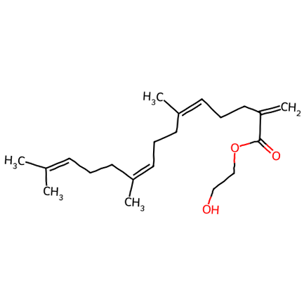 C=C(CCC=C(C)CCC=C(C)CCC=C(C)C)C(=O)OCCO